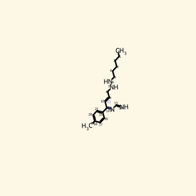 CCCCCCNNC/C=C/C(=N\C=N)c1ccc(C)cc1